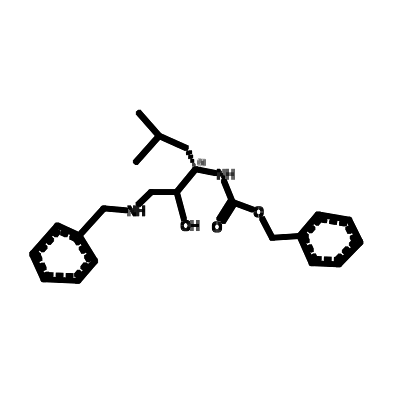 CC(C)C[C@H](NC(=O)OCc1ccccc1)C(O)CNCc1ccccc1